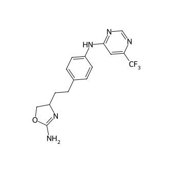 NC1=NC(CCc2ccc(Nc3cc(C(F)(F)F)ncn3)cc2)CO1